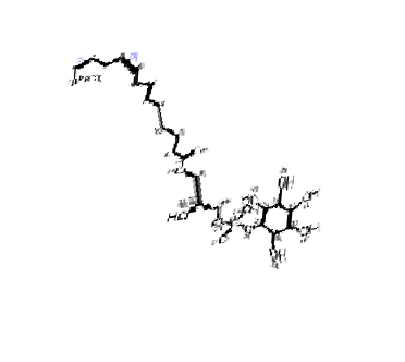 CCCCC/C=C\C/C=C\CCCCCCCC(=O)OCC(O)COP(=O)(O)OC1C(O)C(O)C(O)C(O)C1O